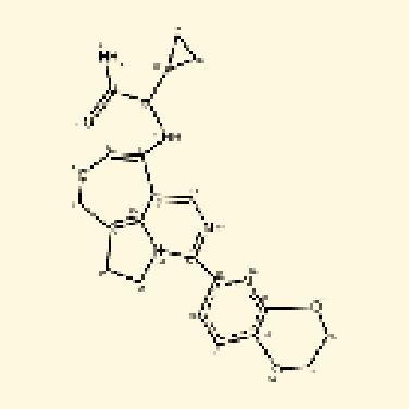 NC(=O)C(NC1=COCC2=C3C1=CN=C(c1ccc4c(n1)OCCO4)N3CC2)C1CC1